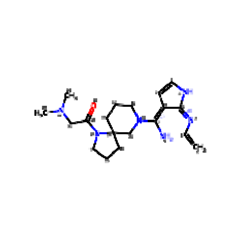 C=C/N=C1/NC=C/C1=C(/N)N1CCCC2(CCCN2C(=O)CN(C)C)C1